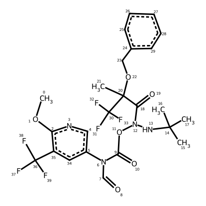 COc1ncc(N(C=O)C(=O)ON(NC(C)(C)C)C(=O)C(C)(OCc2ccccc2)C(F)(F)F)cc1C(F)(F)F